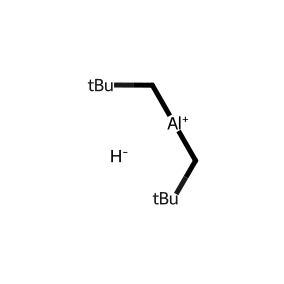 CC(C)(C)[CH2][Al+][CH2]C(C)(C)C.[H-]